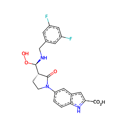 O=C(O)c1cc2cc(N3CC[C@H]([C@H](NCc4cc(F)cc(F)c4)OO)C3=O)ccc2[nH]1